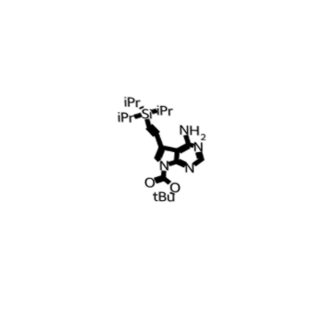 CC(C)[Si](C#Cc1cn(C(=O)OC(C)(C)C)c2ncnc(N)c12)(C(C)C)C(C)C